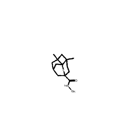 CC12CC3CC4(C(=O)NO)CC(C)(C1)C2(C3)C4